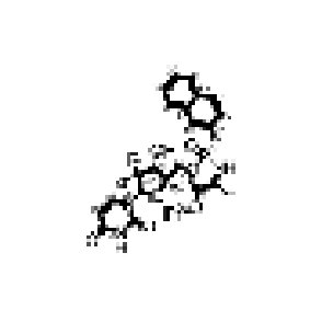 CC(C)OC(=O)[C@H](C)N[P@](=O)(OC[C@@]1(F)O[C@@H](n2ccc(=O)[nH]c2=O)[C@](C)(F)[C@@H]1O)Oc1ccc2ccccc2c1